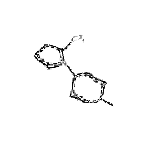 Cc1ccc(-n2cccc2C(F)(F)F)cc1